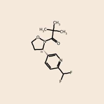 CC(C)(C)C(=O)N1OCC[C@H]1c1ccc(C(F)F)nc1